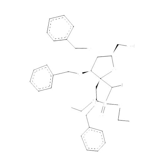 CCOP(=O)(OCC)C(F)[C@@]1(COCc2ccccc2)O[C@H](CO)[C@@H](OCc2ccccc2)[C@@H]1OCc1ccccc1